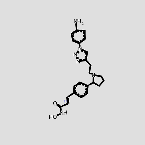 Nc1ccc(-n2cc(CCN3CCCC3c3ccc(/C=C/C(=O)NO)cc3)nn2)cc1